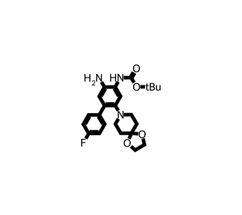 CC(C)(C)OC(=O)Nc1cc(N2CCC3(CC2)OCCO3)c(-c2ccc(F)cc2)cc1N